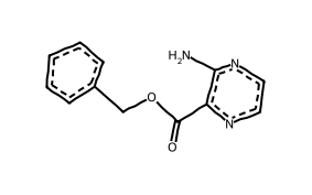 Nc1nccnc1C(=O)OCc1ccccc1